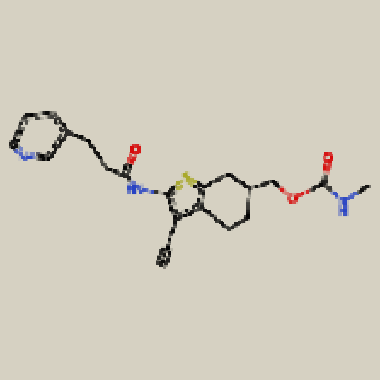 C#Cc1c(NC(=O)CCc2cccnc2)sc2c1CCC(COC(=O)NC)C2